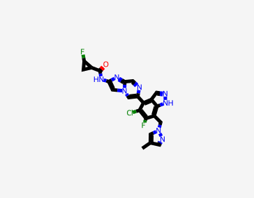 Cc1cnn(Cc2c(F)c(Cl)c(-c3cn4cc(NC(=O)C5CC5F)nc4cn3)c3cn[nH]c23)c1